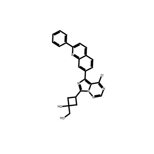 OCC1(O)CC(c2nc(-c3ccc4ccc(-c5ccccc5)nc4c3)c3c(Cl)ncnn23)C1